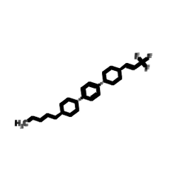 CCCCC[C@H]1CC[C@H](c2ccc([C@H]3CC[C@H](C=CC(F)(F)F)CC3)cc2)CC1